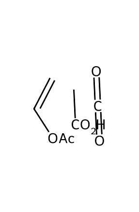 C=COC(C)=O.CC(=O)O.O=C=O